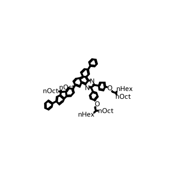 CCCCCCCCC(CCCCCC)COc1ccc(-c2nc3c4cc(-c5ccccc5)ccc4c4ccc(-c5ccc6c(c5)C(CCCCCCCC)(CCCCCCCC)c5cc(-c7ccccc7)ccc5-6)cc4c3nc2-c2ccc(OCC(CCCCCC)CCCCCCCC)cc2)cc1